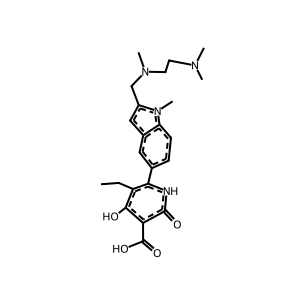 CCc1c(-c2ccc3c(c2)cc(CN(C)CCN(C)C)n3C)[nH]c(=O)c(C(=O)O)c1O